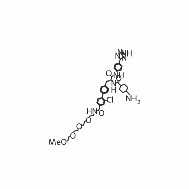 COCCOCCOCCOCCNC(=O)c1ccc(-c2ccc(C[C@H](NC(=O)C3CCC(CN)CC3)C(=O)Nc3ccc(-c4nn[nH]n4)cc3)cc2)c(Cl)c1